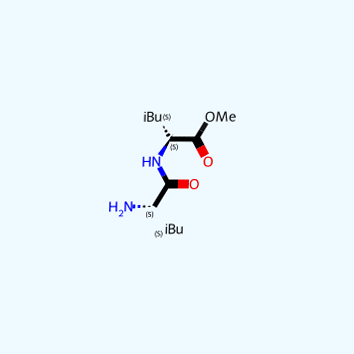 CC[C@H](C)[C@H](N)C(=O)N[C@H](C(=O)OC)[C@@H](C)CC